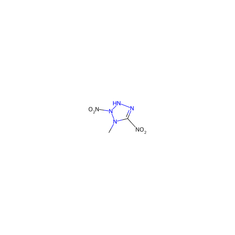 CN1C([N+](=O)[O-])=NNN1[N+](=O)[O-]